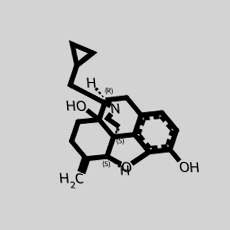 C=C1CCC2(O)[C@H]3Cc4ccc(O)c5c4[C@@]2(CCN3CC2CC2)[C@H]1O5